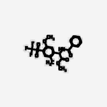 COC(=O)C(NC(=O)c1ccccc1)c1cc(OC)c(S(=O)(=O)C(F)(F)F)cc1C